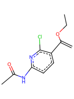 C=C(OCC)c1ccc(NC(C)=O)nc1Cl